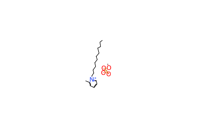 CCCCCCCCCCCC[n+]1ccccc1C.COS(=O)(=O)[O-]